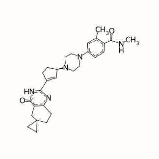 CNC(=O)c1ccc(N2CCN([C@H]3C=C(c4nc5c(c(=O)[nH]4)CC4(CC5)CC4)CC3)CC2)cc1C